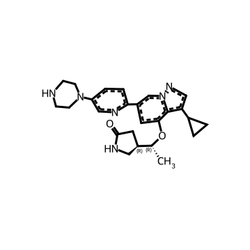 C[C@@H](Oc1cc(-c2ccc(N3CCNCC3)cn2)cn2ncc(C3CC3)c12)[C@H]1CNC(=O)C1